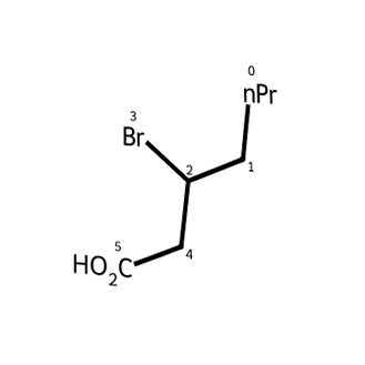 [CH2]CCCC(Br)CC(=O)O